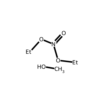 CCO[N+](=O)OCC.CO